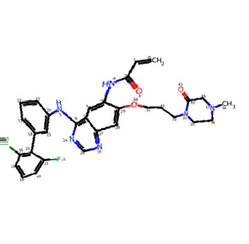 C=CC(=O)Nc1cc2c(Nc3cccc(-c4c(F)cccc4F)c3)ncnc2cc1OCCCN1CCN(C)CC1=O